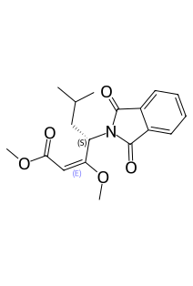 COC(=O)/C=C(/OC)[C@H](CC(C)C)N1C(=O)c2ccccc2C1=O